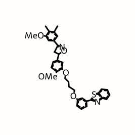 COc1ccc(C2CC(c3cc(C)c(C)c(OC)c3)=NO2)cc1OCCCCOc1cccc(-c2nc3ccccc3s2)c1